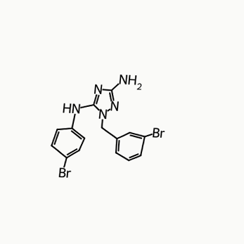 Nc1nc(Nc2ccc(Br)cc2)n(Cc2cccc(Br)c2)n1